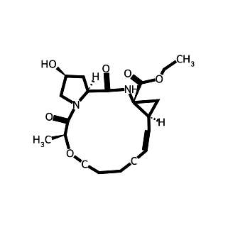 CCOC(=O)[C@@]12C[C@H]1/C=C\CCCCO[C@@H](C)C(=O)N1C[C@@H](O)C[C@H]1C(=O)N2